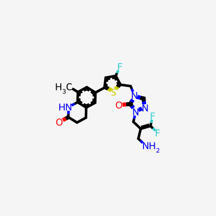 Cc1cc(-c2cc(F)c(Cn3cnn(CC(CN)=C(F)F)c3=O)s2)cc2c1NC(=O)CC2